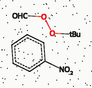 CC(C)(C)OOC=O.O=[N+]([O-])c1ccccc1